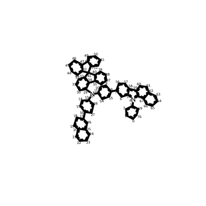 c1ccc(-n2c3cc(-c4ccc(N(c5ccc(-c6ccc7ccccc7c6)cc5)c5cccc6c5-c5ccccc5C65c6ccccc6-c6ccccc65)cc4)ccc3c3ccc4ccccc4c32)cc1